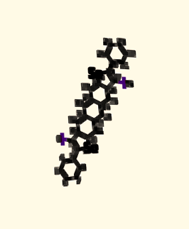 Ic1c(-c2ccccc2)[se]c2cc3cc4cc5c(I)c(-c6ccccc6)[se]c5cc4cc3cc12